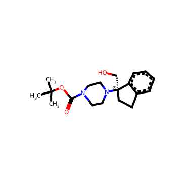 CC(C)(C)OC(=O)N1CCN([C@]2(CO)CCc3ccccc32)CC1